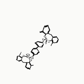 Cc1cccc2c1OP(=O)(Oc1ccc(-c3ccc(OP4(=O)Oc5c(C)cccc5Cc5cccc(C)c5O4)cc3)cc1)Oc1c(C)cccc1C2